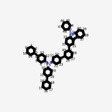 c1ccc(-c2ccc(N(c3ccc(-c4ccccc4)cc3)c3ccc(-c4cccc(-c5ccc6c(c5)c5ccccc5n6-c5ccccc5)c4)cc3)cc2)cc1